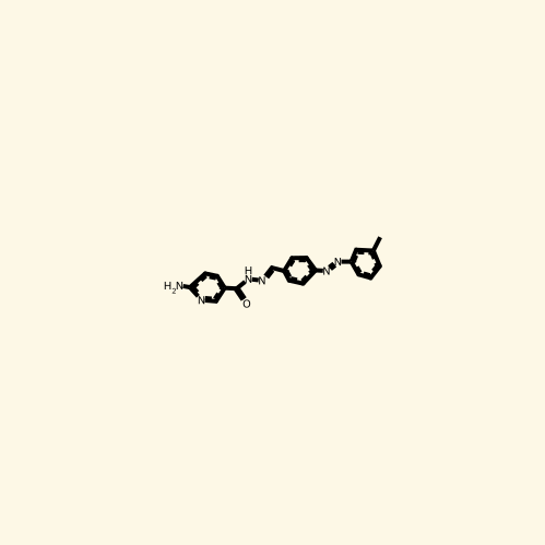 Cc1cccc(/N=N/c2ccc(/C=N/NC(=O)c3ccc(N)nc3)cc2)c1